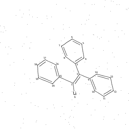 [Li][C](=C(c1ccccc1)c1ccccc1)c1ccccc1